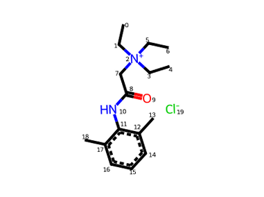 CC[N+](CC)(CC)CC(=O)Nc1c(C)cccc1C.[Cl-]